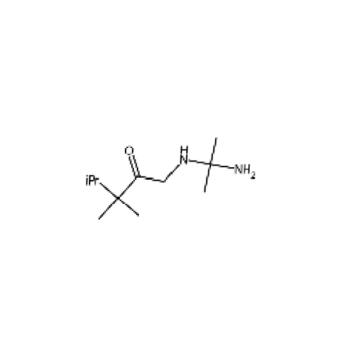 CC(C)C(C)(C)C(=O)CNC(C)(C)N